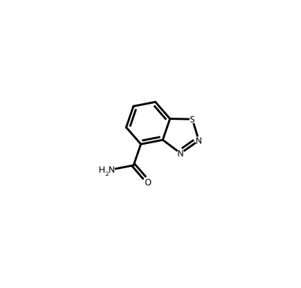 NC(=O)c1cccc2snnc12